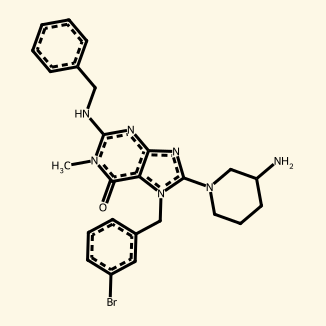 Cn1c(NCc2ccccc2)nc2nc(N3CCCC(N)C3)n(Cc3cccc(Br)c3)c2c1=O